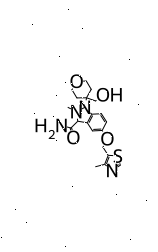 Cc1ncsc1COc1ccc2c(c1)C(C(N)=O)N(C)N2C1(CO)CCOCC1